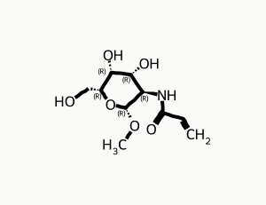 C=CC(=O)N[C@H]1[C@H](OC)O[C@H](CO)[C@H](O)[C@@H]1O